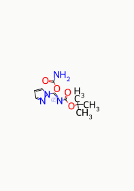 CC(C)(C)OC(=O)/N=C(\OC(N)=O)n1cccn1